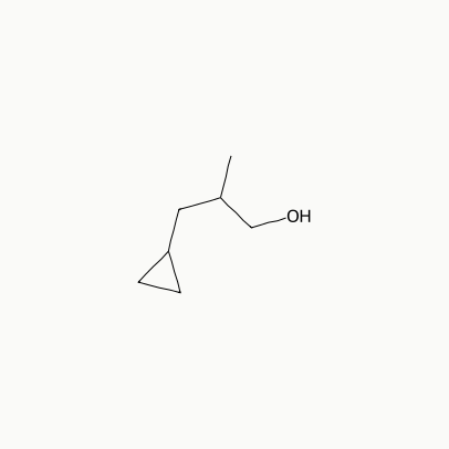 CC(CO)CC1CC1